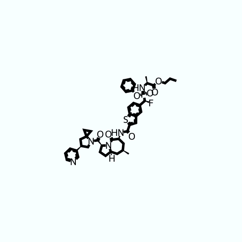 CCCOC(=O)[C@H](C)NP(=O)(Oc1ccccc1)[C@@H](F)c1ccc2sc(C(=O)N[C@H]3C[C@@H](C)C[C@H]4CC[C@@H](C(=O)N5C[C@@H](c6cccnc6)CC56CC6)N4C3=O)cc2c1